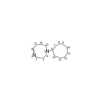 C1=NCCCN(C2CCCCCCCC2)CCC1